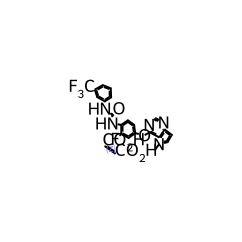 Cn1ccc2ncnc(Oc3ccc(NC(=O)Nc4cccc(C(F)(F)F)c4)c(F)c3)c21.O=C(O)/C=C\C(=O)O